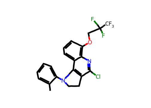 Cc1ccccc1N1CCc2c(Cl)nc3c(OCC(F)(F)C(F)(F)F)cccc3c21